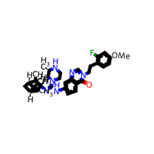 COc1ccc(CCn2cnc3cc(N/C(=N/[C@@H]4C[C@H]5C[C@@H]([C@H]4C)C5(C)C)N4CCN[C@@H](C)C4)ccc3c2=O)c(F)c1